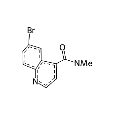 CNC(=O)c1ccnc2ccc(Br)cc12